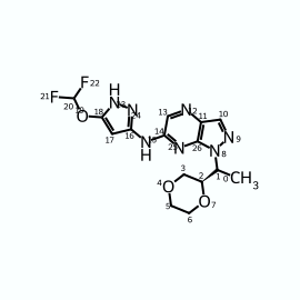 CC([C@@H]1COCCO1)n1ncc2ncc(Nc3cc(OC(F)F)[nH]n3)nc21